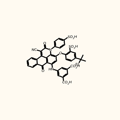 CCC(C)(C)c1ccc(Oc2cc(Nc3cc(C(=O)O)cc(C(=O)O)c3)c3c4c(c(C#N)c(=O)n(-c5ccc(S(=O)(=O)O)cc5)c24)-c2ccccc2C3=O)c(S(=O)(=O)O)c1